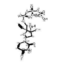 C#C[C@]1(COP(=O)(O)OP(=O)(O)OP(=O)(O)O)O[C@@H](n2ccc(=O)[nH]c2=O)C[C@@]1(O)F